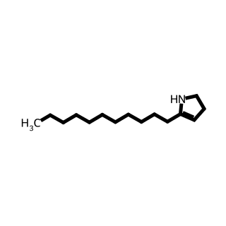 CCCCCCCCCCCC1=CCCN1